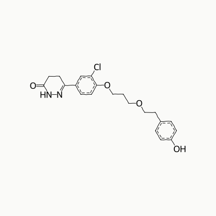 O=C1CCC(c2ccc(OCCCOCCc3ccc(O)cc3)c(Cl)c2)=NN1